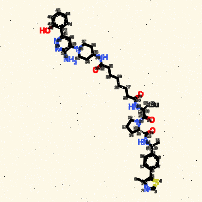 Cc1ncsc1-c1ccc([C@H](C)NC(=O)[C@@H]2CCCN2C(=O)[C@@H](NC(=O)CCCCCCC(=O)NC2CCN(c3cc(-c4ccccc4O)nnc3N)CC2)C(C)(C)C)cc1